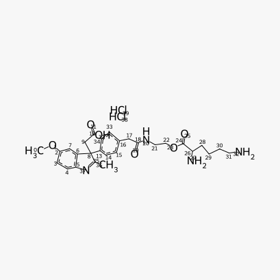 COc1ccc2c(c1)C(CC(=O)O)(c1ccc(CC(=O)NCCOC(=O)C(N)CCCCN)cc1)C(C)=N2.Cl.Cl